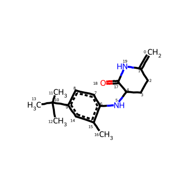 C=C1CCC(Nc2ccc(C(C)(C)C)cc2C)C(=O)N1